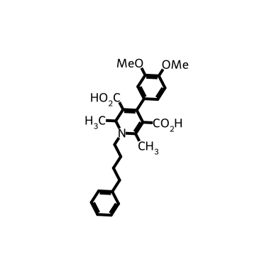 COc1ccc(C2=C(C(=O)O)C(C)N(CCCCc3ccccc3)C(C)=C2C(=O)O)cc1OC